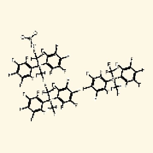 Fc1c(F)c(F)c([N+](c2c(F)c(F)c(F)c(F)c2F)(C(F)(F)F)C(F)(F)F)c(F)c1F.Fc1c(F)c(F)c([N+](c2c(F)c(F)c(F)c(F)c2F)(C(F)(F)F)C(F)(F)F)c(F)c1F.Fc1c(F)c(F)c([N+](c2c(F)c(F)c(F)c(F)c2F)(C(F)(F)F)C(F)(F)F)c(F)c1F.[O-]B([O-])[O-]